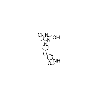 Cc1c(Cl)nc(CO)nc1N1CCC(Oc2ccc3c(c2)OCCN3)CC1